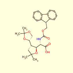 CC1(C)C[C@H]([C@H]2COC(C)(C)O2)[C@@H]([C@H](NC(=O)OCC2c3ccccc3-c3ccccc32)C(=O)O)O1